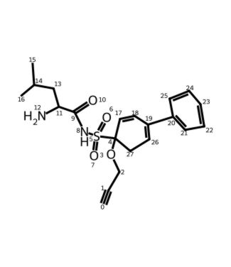 C#CCOC1(S(=O)(=O)NC(=O)C(N)CC(C)C)C=CC(c2ccccc2)=CC1